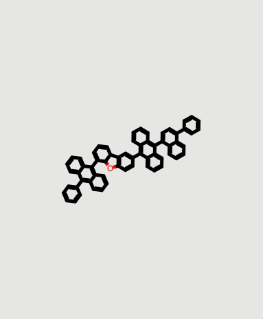 C1=CC2c3cc(-c4c5ccccc5c(-c5ccc(-c6ccccc6)c6ccccc56)c5ccccc45)ccc3OC2C(c2c3ccccc3c(-c3ccccc3)c3ccccc23)=C1